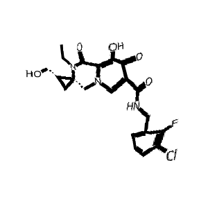 CCN1C(=O)c2c(O)c(=O)c(C(=O)NCc3cccc(Cl)c3F)cn2C[C@@]12C[C@@H]2CO